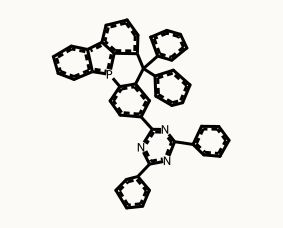 c1ccc(-c2nc(-c3ccccc3)nc(-c3ccc4c(c3)C(c3ccccc3)(c3ccccc3)c3cccc5c6ccccc6p-4c35)n2)cc1